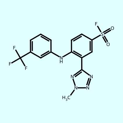 Cn1nnc(-c2cc(S(=O)(=O)F)ccc2Nc2cccc(C(F)(F)F)c2)n1